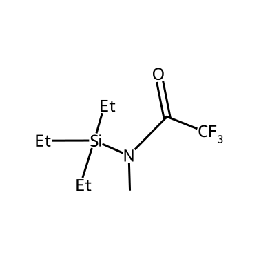 CC[Si](CC)(CC)N(C)C(=O)C(F)(F)F